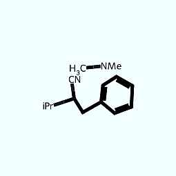 CC(C)C(C#N)Cc1ccccc1.CNC